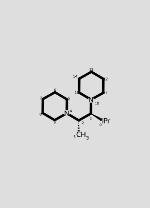 CC(C)[C@@H]([C@H](C)N1CCCCC1)N1CCCCC1